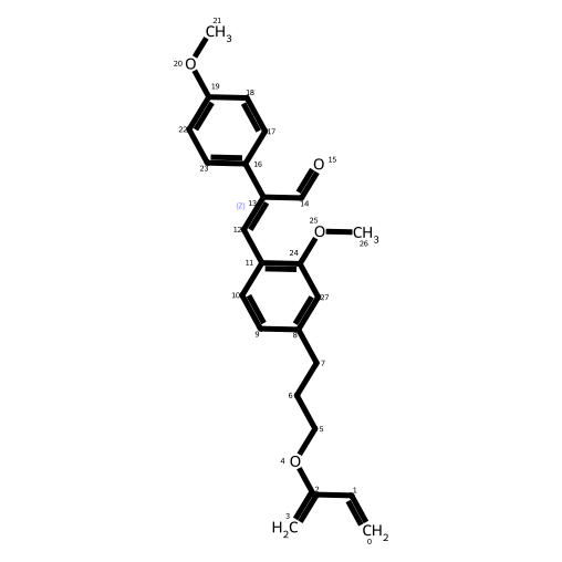 C=CC(=C)OCCCc1ccc(/C=C(\C=O)c2ccc(OC)cc2)c(OC)c1